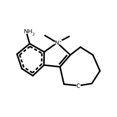 C[N+]1(C)C2=C(CCCCCC2)c2cccc(N)c21